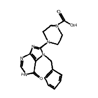 O=C(O)N1CCN(c2nc3nc[nH]c(=O)c3n2Cc2ccccc2)CC1